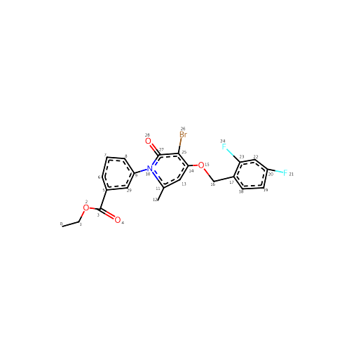 CCOC(=O)c1cccc(-n2c(C)cc(OCc3ccc(F)cc3F)c(Br)c2=O)c1